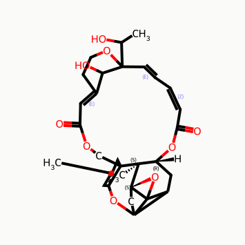 CC1=CC2OC34C[C@@]56OC35C4C[C@H]3OC(=O)/C=C\C=C\C4(C(C)O)OCC/C(=C\C(=O)OCC2(CC1)[C@@]36C)C4O